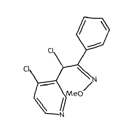 CON=C(c1ccccc1)C(Cl)c1cnccc1Cl